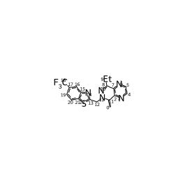 C=C1c2nccnc2C(CC)=NN1Cc1nc2cc(C(F)(F)F)ccc2s1